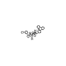 O=C(NCc1ccc(-c2ccccc2-c2ccccc2)nc1)[C@H](O)[C@@H](O)C(=O)N1CCCC1c1cccc(Cl)c1